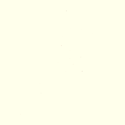 CCCCCCCCOc1ccc(CCC(N)(CO)COP(=O)(O)O)cc1C(F)(F)F